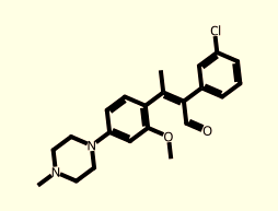 COc1cc(N2CCN(C)CC2)ccc1/C(C)=C(\C=O)c1cccc(Cl)c1